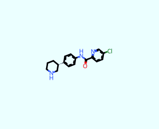 O=C(Nc1ccc([C@H]2CCCNC2)cc1)c1ccc(Cl)cn1